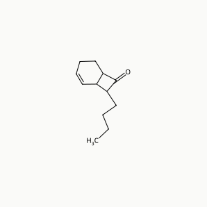 CCCCC1C(=O)C2CCC=CC21